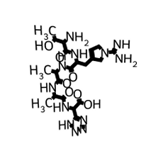 CC(NC(=O)C(C)NC(=O)C(CC1=CCN(C(=N)N)C1)NC(=O)C(N)C(C)O)C(=O)NC(C(=O)O)c1nnn[nH]1